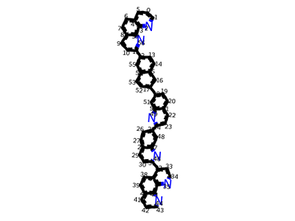 c1cnc2c(c1)ccc1ccc(-c3ccc4cc(-c5ccc6ccc(-c7ccc8ccc(-c9ccnc%10c9ccc9cccnc9%10)nc8c7)nc6c5)ccc4c3)nc12